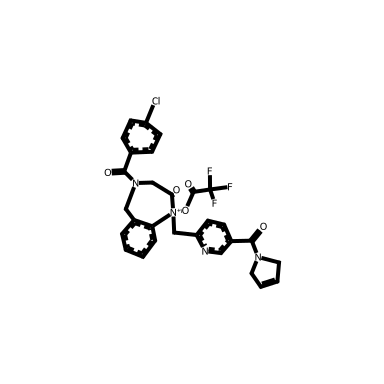 O=C(c1ccc(C[N+]2(OC(=O)C(F)(F)F)C(=O)CN(C(=O)c3ccc(Cl)cc3)Cc3ccccc32)nc1)N1CC=CC1